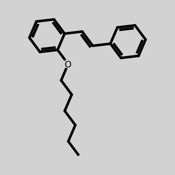 CCCCCCOc1ccccc1C=Cc1ccccc1